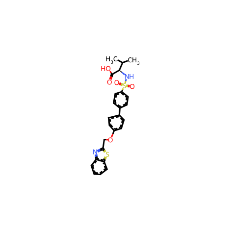 CC(C)[C@@H](NS(=O)(=O)c1ccc(-c2ccc(OCc3nc4ccccc4s3)cc2)cc1)C(=O)O